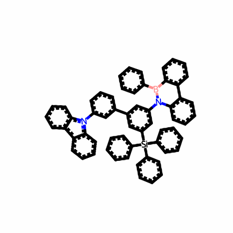 c1ccc(B2c3ccccc3-c3ccccc3N2c2cc(-c3cccc(-n4c5ccccc5c5ccccc54)c3)cc([Si](c3ccccc3)(c3ccccc3)c3ccccc3)c2)cc1